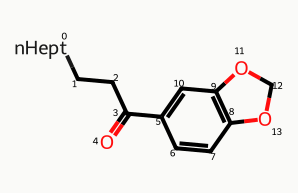 CCCCCCCCCC(=O)c1ccc2c(c1)OCO2